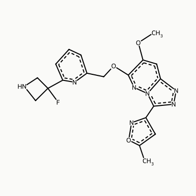 COc1cc2nnc(-c3cc(C)on3)n2nc1OCc1cccc(C2(F)CNC2)n1